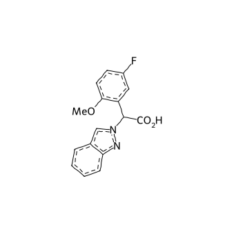 COc1ccc(F)cc1C(C(=O)O)n1cc2ccccc2n1